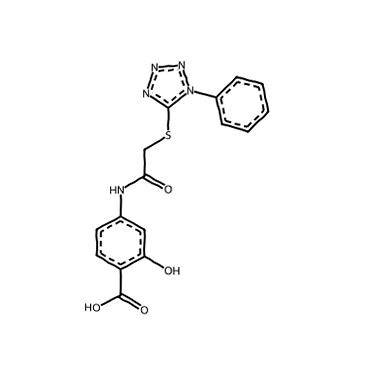 O=C(CSc1nnnn1-c1ccccc1)Nc1ccc(C(=O)O)c(O)c1